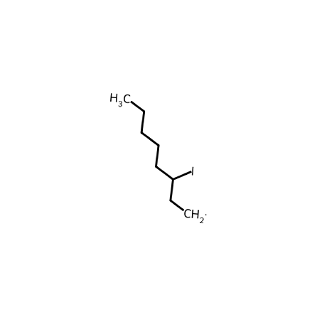 [CH2]CC(I)CCCCC